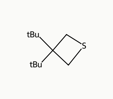 CC(C)(C)C1(C(C)(C)C)CSC1